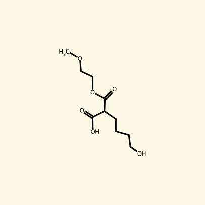 COCCOC(=O)C(CCCCO)C(=O)O